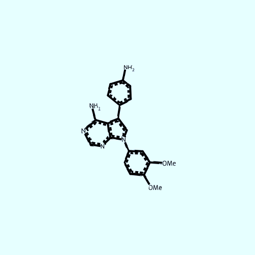 COc1ccc(-n2cc(-c3ccc(N)cc3)c3c(N)ncnc32)cc1OC